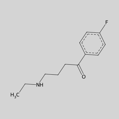 CCNCCCC(=O)c1ccc(F)cc1